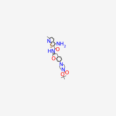 Cc1ccc2c(N)c(C(=O)N[C@@H]3COc4cc(N5CCN(C(=O)OC(C)(C)C)CC5)ccc4C3)sc2n1